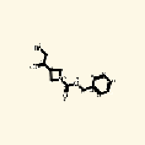 O=C(CBr)C1CN(C(=O)OCc2ccccc2)C1